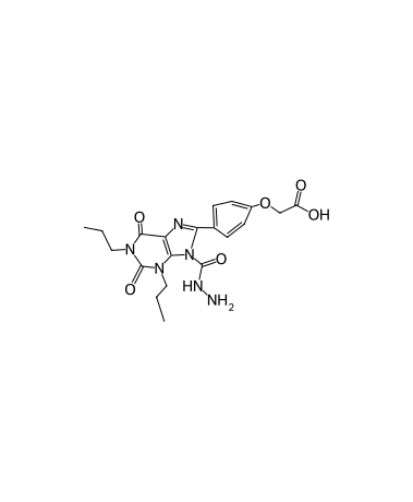 CCCn1c(=O)c2nc(-c3ccc(OCC(=O)O)cc3)n(C(=O)NN)c2n(CCC)c1=O